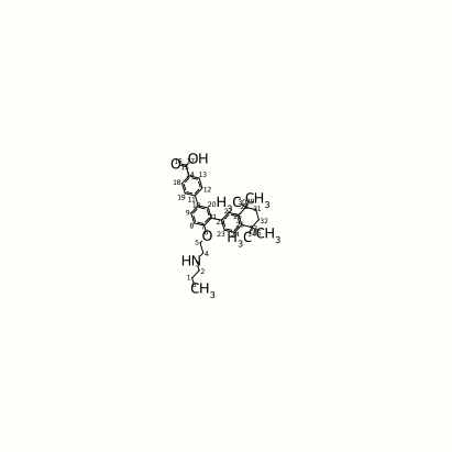 CCCNCCOc1ccc(-c2ccc(C(=O)O)cc2)cc1-c1ccc2c(c1)C(C)(C)CCC2(C)C